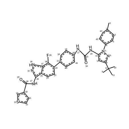 Cc1ccc(-n2nc(C(C)(C)C)cc2NC(=O)Nc2ccc(-c3ccc4c(NC(=O)c5ccsc5)n[nH]c4c3F)cc2)cc1